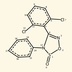 O=S1ON=C(c2c(Cl)cccc2Cl)N1c1ccccc1